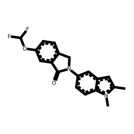 Cc1cc2cc(N3Cc4ccc(OC(F)F)cc4C3=O)ccc2n1C